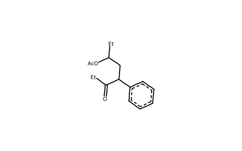 CCC(=O)C(CC(CC)OC(C)=O)c1ccccc1